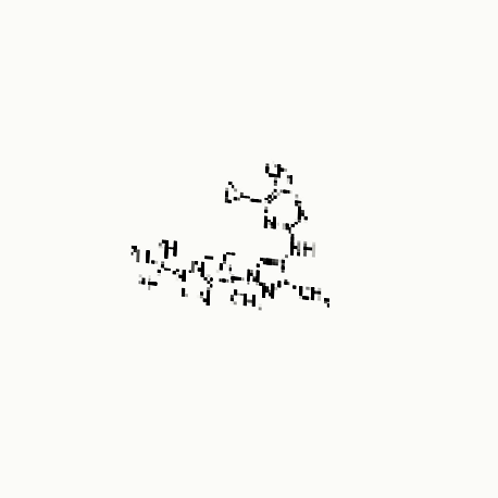 [2H]C([2H])([2H])n1cnc(C(C)(C)n2cc(Nc3ncc(C(F)(F)F)c(C4CC4)n3)c(C)n2)n1